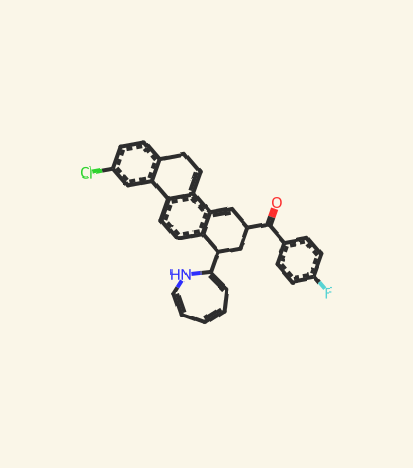 O=C(c1ccc(F)cc1)C1C=c2c(ccc3c2=CCc2ccc(Cl)cc2-3)C(C2=CC=CC=CN2)C1